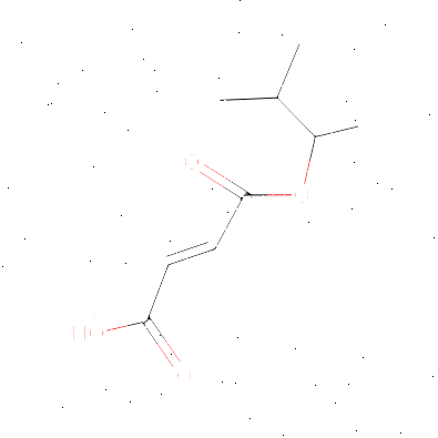 CC(C)C(C)OC(=O)/C=C/C(=O)O